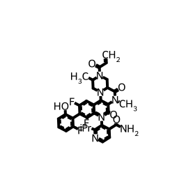 C=CC(=O)N1CC2C(=O)N(C)c3c(c4cc(F)c(-c5c(O)cccc5F)c(F)c4n(-c4c(C(N)=O)ccnc4C(C)C)c3=O)N2CC1C